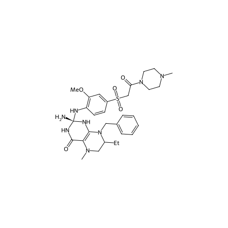 CCC1CN(C)C2=C(N[C@@](N)(Nc3ccc(S(=O)(=O)CC(=O)N4CCN(C)CC4)cc3OC)NC2=O)N1Cc1ccccc1